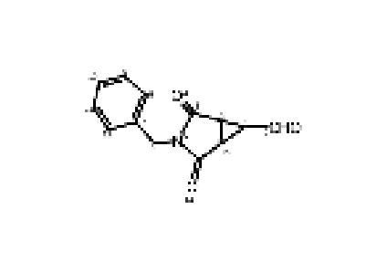 O=CC1C2C(=O)N(Cc3ccccc3)C(=O)C12